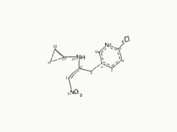 O=[N+]([O-])/C=C(\Cc1ccc(Cl)nc1)NC1CC1